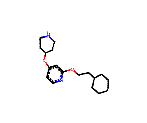 c1cc(OC2CCNCC2)cc(OCCC2CCCCC2)n1